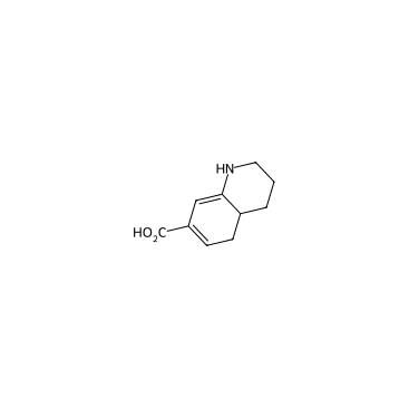 O=C(O)C1=CCC2CCCNC2=C1